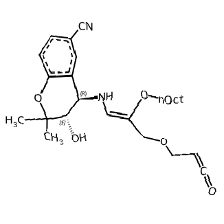 CCCCCCCCOC(=CN[C@@H]1c2cc(C#N)ccc2OC(C)(C)[C@H]1O)COCC=C=O